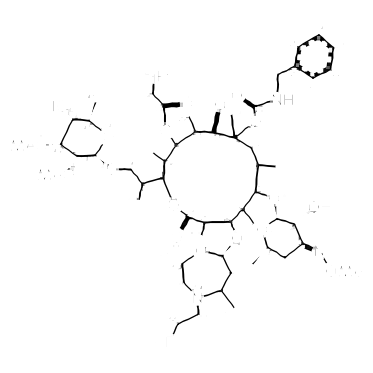 CON=C1C[C@@H](C)O[C@@H](OC2C(C)CC(C)(OC(=O)NCc3ccccc3)C(=O)C(C)C(OC(=O)CC(C)C)C(C)C(C(C)CO[C@@H]3O[C@H](C)[C@@H](O)[C@@H](OC)[C@H]3OC)OC(=O)C(C)C(O[C@H]3CC(C)N(CCF)C[C@H](C)O3)C2C)[C@@H]1O